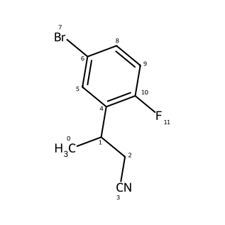 CC(CC#N)c1cc(Br)ccc1F